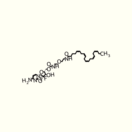 CC/C=C\C/C=C\C/C=C\C/C=C\C/C=C\CCCC(=O)NCCOCCNC(=O)OC[C@H]1O[C@@H](n2ccc(N)nc2=O)C(F)(F)[C@@H]1O